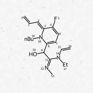 C=C/C=C1/C(F)=CC=C(C(O)/C(=N/C)N(C=C)CC)N1CCCC